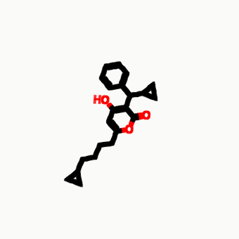 O=c1oc(CCCCC2CC2)cc(O)c1C(c1ccccc1)C1CC1